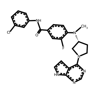 CN(c1ccc(C(=O)Nc2cccc(Cl)c2)cc1F)[C@@H]1CCN(c2ncnc3[nH]ccc23)C1